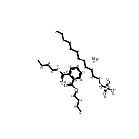 CCCCCCCCCCCCOS(=O)(=O)[O-].CCCCOC(=O)c1ccccc1C(=O)OCCCC.[Na+]